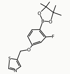 CC1(C)OB(c2ccc(OCc3cncs3)cc2F)OC1(C)C